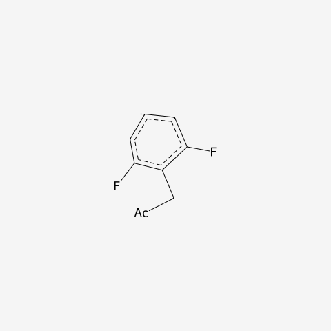 CC(=O)Cc1c(F)c[c]cc1F